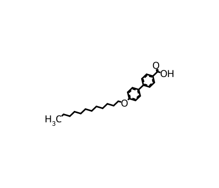 CCCCCCCCCCCCOc1ccc(-c2ccc(C(=O)O)cc2)cc1